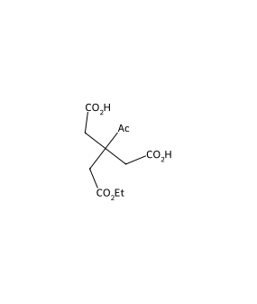 CCOC(=O)CC(CC(=O)O)(CC(=O)O)C(C)=O